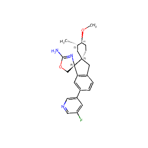 CO[C@H]1CC[C@@]2(Cc3ccc(-c4cncc(F)c4)cc3[C@@]23COC(N)=N3)C[C@@H]1C